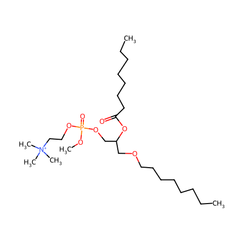 CCCCCCCCOCC(COP(=O)(OC)OCC[N+](C)(C)C)OC(=O)CCCCCCC